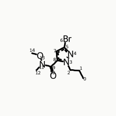 CCCn1nc(Br)cc1C(=O)N(C)OC